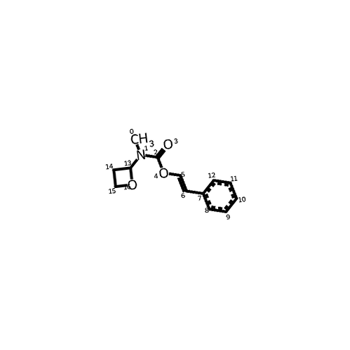 CN(C(=O)OC=Cc1ccccc1)C1CCO1